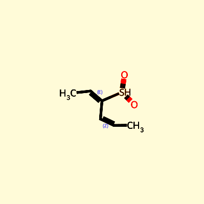 C/C=C\C(=C/C)[SH](=O)=O